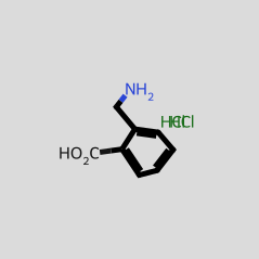 Cl.Cl.NCc1ccccc1C(=O)O